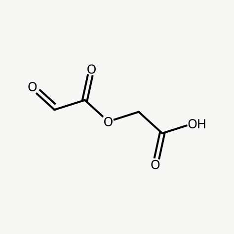 O=CC(=O)OCC(=O)O